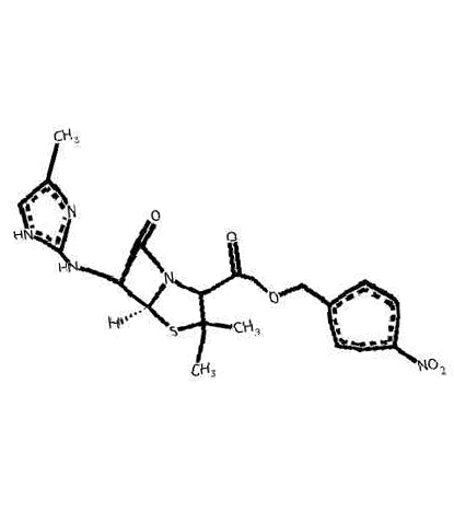 Cc1c[nH]c(NC2C(=O)N3C(C(=O)OCc4ccc([N+](=O)[O-])cc4)C(C)(C)S[C@@H]23)n1